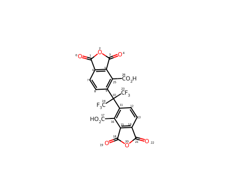 O=C1OC(=O)c2c1ccc(C(c1ccc3c(c1C(=O)O)C(=O)OC3=O)(C(F)(F)F)C(F)(F)F)c2C(=O)O